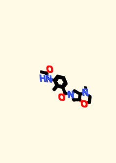 CC(=O)Nc1cccc(C(=O)N2CC3OCCN(C)C3C2)c1C